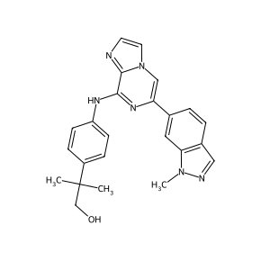 Cn1ncc2ccc(-c3cn4ccnc4c(Nc4ccc(C(C)(C)CO)cc4)n3)cc21